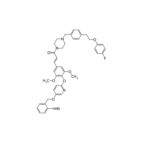 COc1cc(/C=C/C(=O)N2CCN(Cc3ccc(CCOc4ccc(F)cc4)cc3)CC2)cc(OC)c1Oc1ccc(OCc2ccccc2C#N)cn1